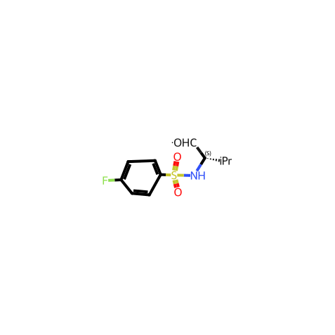 CC(C)[C@@H]([C]=O)NS(=O)(=O)c1ccc(F)cc1